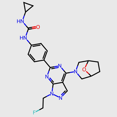 O=C(Nc1ccc(-c2nc(N3CC4CCC(C3)O4)c3cnn(CCF)c3n2)cc1)NC1CC1